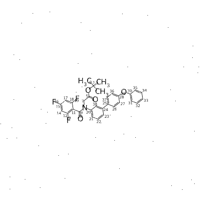 CC(C)(C)OC(=O)CN(C(=O)c1c(F)cc(F)cc1F)c1cccc(-c2ccc(Oc3ccccc3)cc2)c1